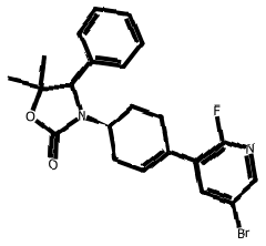 CC1(C)OC(=O)N([C@@H]2CC=C(c3cc(Br)cnc3F)CC2)C1c1ccccc1